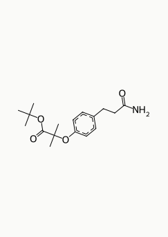 CC(C)(C)OC(=O)C(C)(C)Oc1ccc(CCC(N)=O)cc1